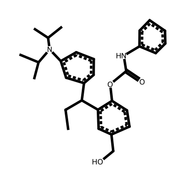 CCC(c1cccc(N(C(C)C)C(C)C)c1)c1cc(CO)ccc1OC(=O)Nc1ccccc1